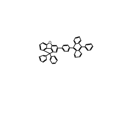 c1ccc(-c2c3ccccc3c(-c3ccc(-c4cc5c6c(c4)oc4cccc(c46)C5(c4ccccc4)c4ccccc4)cc3)c3ccccc23)cc1